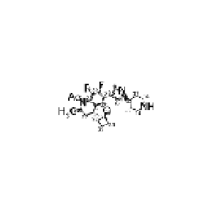 CC(=O)N1c2c(F)c(F)c(-c3cnn(C4CCNCC4)c3)c(OC3CCC3)c2CCC1C